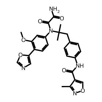 COc1cc(N(C(=O)C(N)=O)C(C)(C)Cc2ccc(NC(=O)c3conc3C)cc2)ccc1-c1cnco1